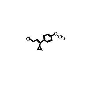 FC(F)(F)Oc1ccc(C(=CCCl)C2CC2)cc1